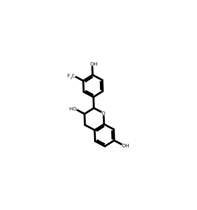 Oc1ccc2c(c1)OC(c1ccc(O)c(C(F)(F)F)c1)C(O)C2